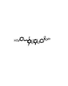 Cc1c(Oc2cc(F)c(CCN3CCC[C@@H](CO)C3)cc2F)ncnc1OC1CCN(C(=O)OC(C)C)CC1